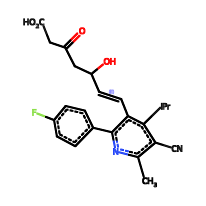 Cc1nc(-c2ccc(F)cc2)c(/C=C/C(O)CC(=O)CC(=O)O)c(C(C)C)c1C#N